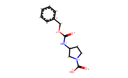 O=C(NC1CCN(C(=O)O)C1)OCc1ccccc1